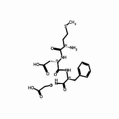 CSCC[C@H](N)C(=O)N[C@@H](CC(=O)O)C(=O)N[C@@H](Cc1ccccc1)C(=O)NOCC(=O)O